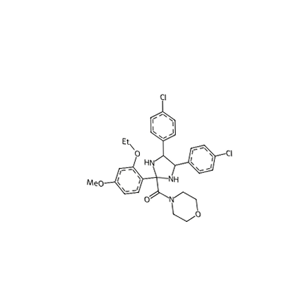 CCOc1cc(OC)ccc1C1(C(=O)N2CCOCC2)NC(c2ccc(Cl)cc2)C(c2ccc(Cl)cc2)N1